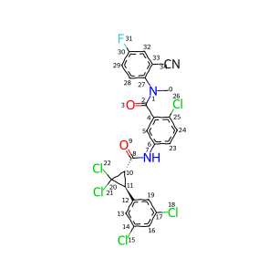 CN(C(=O)c1cc(NC(=O)[C@@H]2[C@@H](c3cc(Cl)cc(Cl)c3)C2(Cl)Cl)ccc1Cl)c1ccc(F)cc1C#N